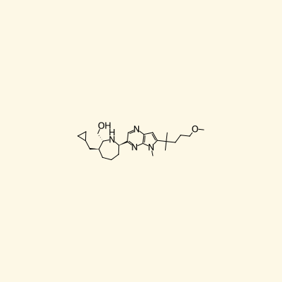 COCCCC(C)(C)c1cc2ncc([C@H]3CCC[C@@H](CC4CC4)[C@H](CO)N3)nc2n1C